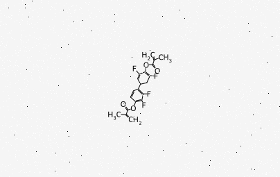 C=C(C)C(=O)OC1=C(F)CC(c2ccc(OC(=O)C(=C)C)c(F)c2F)C=C1F